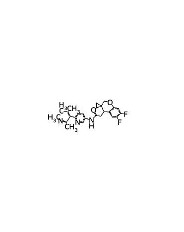 C/N=C(/C)C(=C(C)C)c1ccc(NC(=O)CC2c3cc(F)c(F)cc3OCC23CC3)cn1